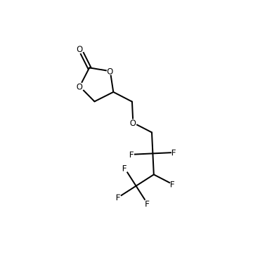 O=C1OCC(COCC(F)(F)C(F)C(F)(F)F)O1